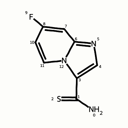 NC(=S)c1cnc2cc(F)ccn12